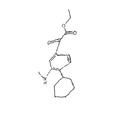 CCOC(=O)C(=O)c1ccc(C2CCCCC2)c(NC)c1